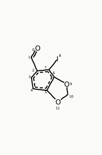 O=Cc1ccc2c(c1I)OCO2